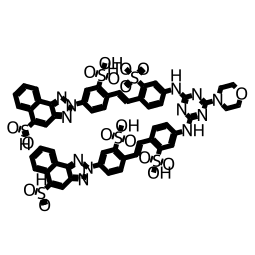 O=[SH](=O)c1cc2nn(-c3ccc(C=Cc4ccc(Nc5nc(Nc6ccc(C=Cc7ccc(-n8nc9cc([SH](=O)=O)c%10ccccc%10c9n8)cc7S(=O)(=O)O)c(S(=O)(=O)O)c6)nc(N6CCOCC6)n5)cc4S(=O)(=O)O)c(S(=O)(=O)O)c3)nc2c2ccccc12